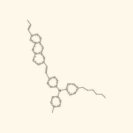 CC=Cc1ccc2cc3cc(C=Cc4ccc(N(c5ccc(C)cc5)c5ccc(CCCCCC)cc5)cc4)ccc3cc2c1